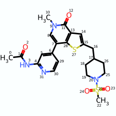 CC(=O)Nc1cc(-c2cn(C)c(=O)c3cc(CC4CCN(S(C)(=O)=O)CC4)sc23)ccn1